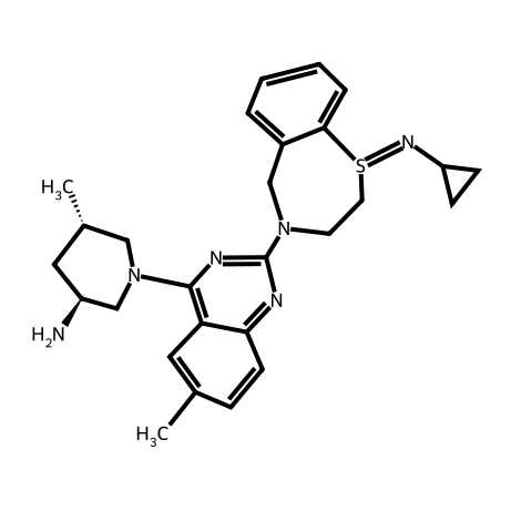 Cc1ccc2nc(N3CCS(=NC4CC4)c4ccccc4C3)nc(N3C[C@@H](C)C[C@H](N)C3)c2c1